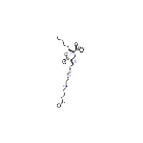 CCCCC/C=C(/C/C(=C/C/C=C/C/C=C/CCC[C]=O)[N+](=O)[O-])[N+](=O)[O-]